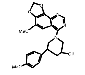 COc1ccc(C2CC(O)CN(c3ncnc4c5c(c(OC)cc34)OCO5)C2)cc1